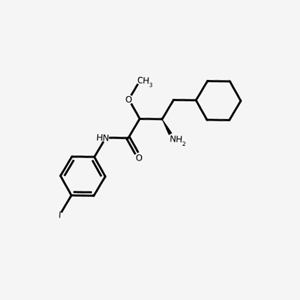 COC(C(=O)Nc1ccc(I)cc1)[C@H](N)CC1CCCCC1